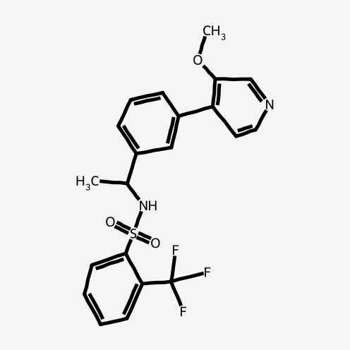 COc1cnccc1-c1cccc(C(C)NS(=O)(=O)c2ccccc2C(F)(F)F)c1